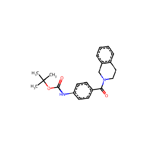 CC(C)(C)OC(=O)Nc1ccc(C(=O)N2CCc3ccccc3C2)cc1